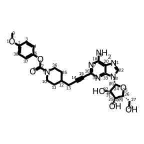 COc1ccc(OC(=O)N2CCC(CC#Cc3nc(N)c4ncn([C@@H]5O[C@H](CO)[C@@H](O)[C@H]5O)c4n3)CC2)cc1